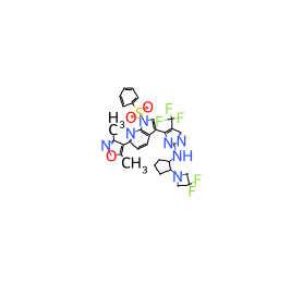 Cc1noc(C)c1-c1ccc2c(-c3nc(NC4CCCC4N4CC(F)(F)C4)ncc3C(F)(F)F)cn(S(=O)(=O)c3ccccc3)c2n1